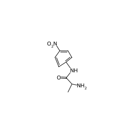 CC(N)C(=O)Nc1ccc([N+](=O)[O-])cc1